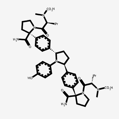 CC(C)[C@@H](C(=O)N1CCC[C@@]1(C(N)=O)c1ccc([C@@H]2CC[C@@H](c3ccc([C@]4(C(N)=O)CCCN4C(=O)[C@H](C(C)C)N(C)C(=O)O)cc3)N2c2ccc(O)cc2)cc1)N(C)C(=O)O